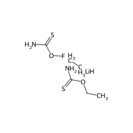 CC.CCOC(N)=S.NC(=S)OF.[LiH]